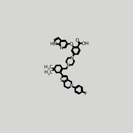 CC1(C)CCC(CN2CCN(c3ccc(C(=O)O)c(Oc4cnc5[nH]ccc5c4)c3)CC2)=C(c2cc3c(s2)CCN(c2ccc(F)cc2)C3)C1